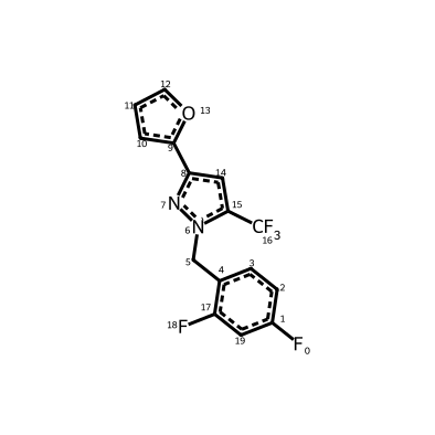 Fc1ccc(Cn2nc(-c3ccco3)cc2C(F)(F)F)c(F)c1